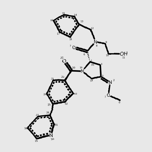 CON=C1C[C@@H](C(=O)N(CCO)Cc2ccccc2)N(C(=O)c2ccc(-c3cccnc3)cc2)C1